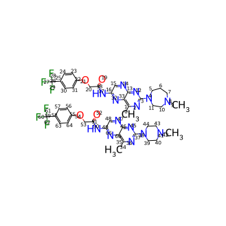 Cc1nc(N2CCCN(C)CC2)nc2ncc(NC(=O)COc3ccc(C(F)(F)F)cc3)nc12.Cc1nc(N2CCN(C)CC2)nc2ncc(NC(=O)COc3ccc(C(F)(F)F)cc3)nc12